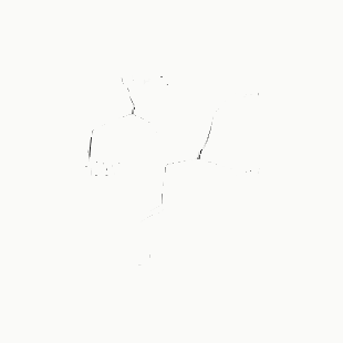 CC=CCC(O)CO.CCCCCCCCCCCC(O)CCCCCCCC